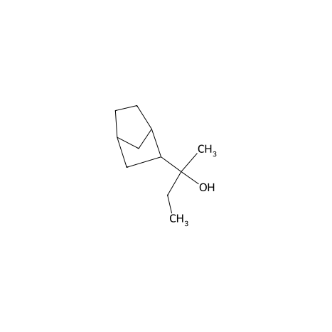 CCC(C)(O)C1CC2CCC1C2